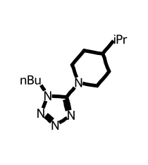 CCCCn1nnnc1N1CCC(C(C)C)CC1